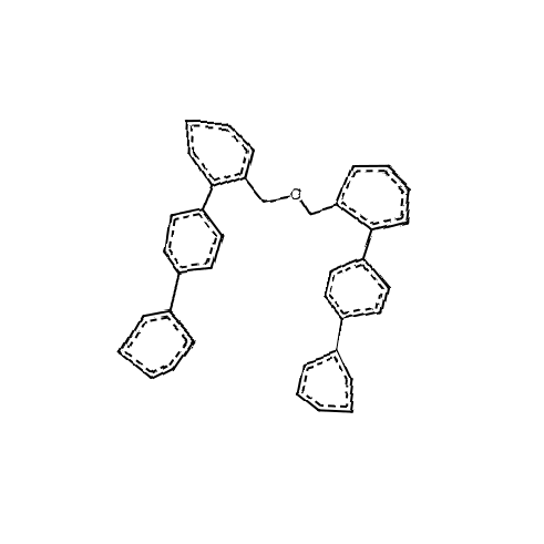 c1ccc(-c2ccc(-c3ccccc3COCc3ccccc3-c3ccc(-c4ccccc4)cc3)cc2)cc1